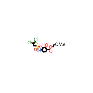 COCCOC(=O)c1ccc(NS(=O)(=O)c2cc(Cl)c(Cl)s2)cc1O